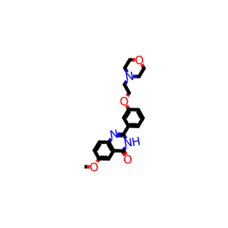 COc1ccc2nc(-c3cccc(OCCN4CCOCC4)c3)[nH]c(=O)c2c1